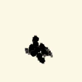 CC(C)(C)c1ccc2c(c1)C1(C)CCCCC1(C)N2c1cc2c3c(c1)N(c1ccc4c(c1)sc1ccccc14)c1cccc4c1B3c1c(cccc1[Si]4(C)C)N2c1ccc2c(c1)sc1ccccc12